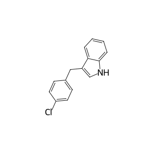 Clc1ccc(Cc2c[nH]c3ccccc23)cc1